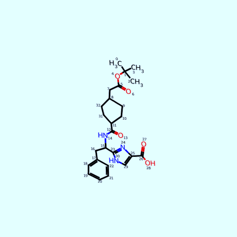 CC(C)(C)OC(=O)CC1CCC(C(=O)NC(Cc2ccccc2)c2nc(C(=O)O)c[nH]2)CC1